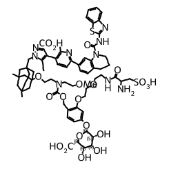 COCCN(CCOC12CC3(C)CC(C)(CC(Cn4ncc(-c5ccc(-c6ccc7c(c6)N(C(=O)Nc6nc8ccccc8s6)CCC7)nc5C(=O)O)c4C)(C3)C1)C2)C(=O)OCc1ccc(O[C@H]2O[C@@H](C(=O)O)[C@H](O)[C@@H](O)[C@@H]2O)cc1OCCOCCNC(=O)C(N)CS(=O)(=O)O